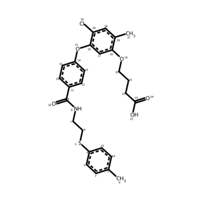 Cc1ccc(SCCNC(=O)c2ccc(Oc3cc(OCCCC(=O)O)c(C)cc3Cl)cc2)cc1